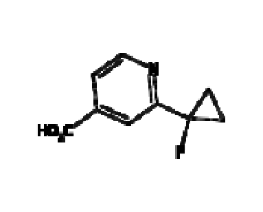 O=C(O)c1ccnc(C2(F)CC2)c1